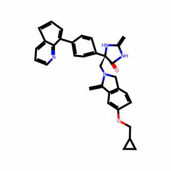 C=C1NC(=O)[C@](CN2Cc3ccc(OCC4CC4)cc3C2=C)(c2ccc(-c3cccc4cccnc34)cc2)N1